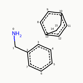 NCc1ccccc1.c1cc2ccc1CC2